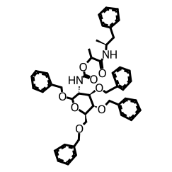 CC(OC(=O)N[C@H]1C(OCc2ccccc2)O[C@H](COCc2ccccc2)[C@@H](OCc2ccccc2)[C@@H]1OCc1ccccc1)C(=O)N[C@@H](C)Cc1ccccc1